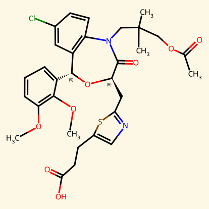 COc1cccc([C@H]2O[C@H](Cc3ncc(CCC(=O)O)s3)C(=O)N(CC(C)(C)COC(C)=O)c3ccc(Cl)cc32)c1OC